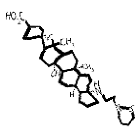 CC1(C)C(c2ccc(C(=O)O)cc2)=CC[C@@]2(C)C1CC[C@@]1(C)C3CC[C@@]4(NCCN5CCCCS5)CCCC4[C@H]3CCC12